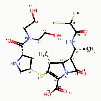 C[C@H]1C(S[C@@H]2CN[C@H](C(=O)N(CCO)CCO)C2)=C(C(=O)O)N2C(=O)[C@H]([C@@H](C)NC(=O)C(F)F)C12